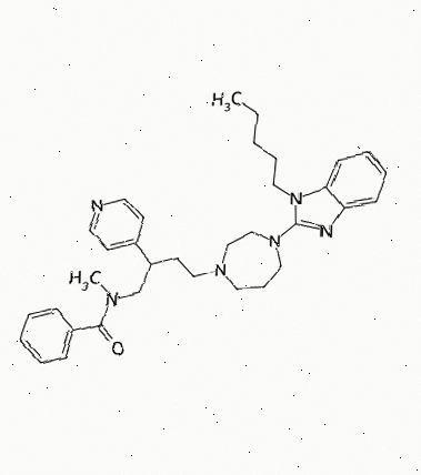 CCCCCn1c(N2CCCN(CCC(CN(C)C(=O)c3ccccc3)c3ccncc3)CC2)nc2ccccc21